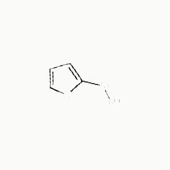 CCC[SiH2]c1cccs1